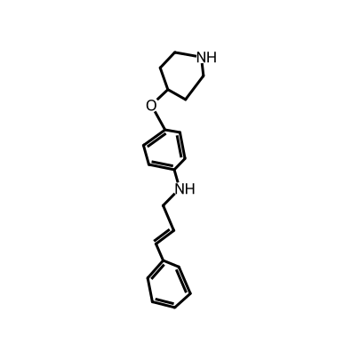 C(=Cc1ccccc1)CNc1ccc(OC2CCNCC2)cc1